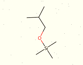 CC(C)CO[Si](C)(C)C